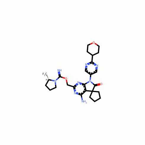 N=C(OCc1nc(N)c2c(n1)N(c1cnc(C3CCOCC3)nc1)C(=O)C21CCCC1)N1CCC[C@@H]1C(F)(F)F